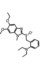 CCOc1cc2nc([S+]([O-])Cc3ccccc3N(CC)CC)n(C)c2cc1OCC